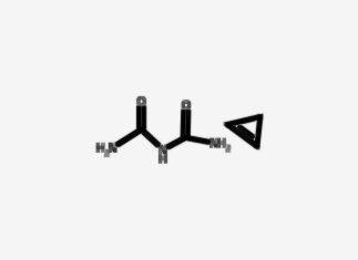 C1=CC1.NC(=O)NC(N)=O